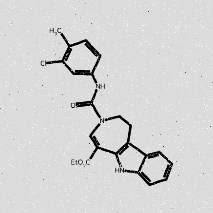 CCOC(=O)C1=CN(C(=O)Nc2ccc(C)c(Cl)c2)CCc2c1[nH]c1ccccc21